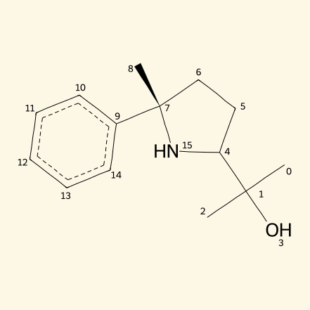 CC(C)(O)C1CC[C@@](C)(c2ccccc2)N1